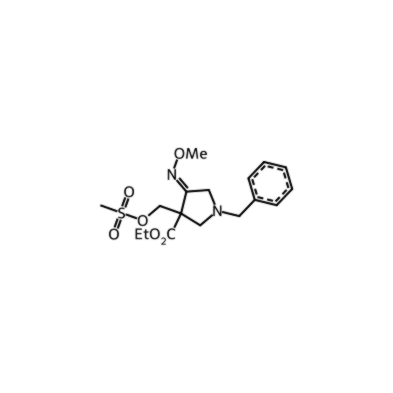 CCOC(=O)C1(COS(C)(=O)=O)CN(Cc2ccccc2)C/C1=N\OC